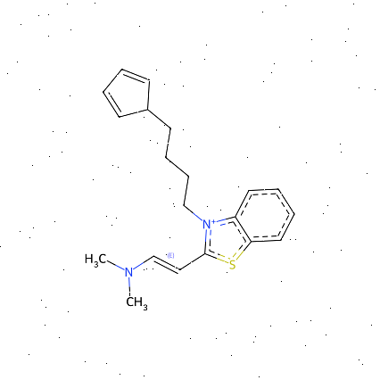 CN(C)/C=C/c1sc2ccccc2[n+]1CCCCC1C=CC=C1